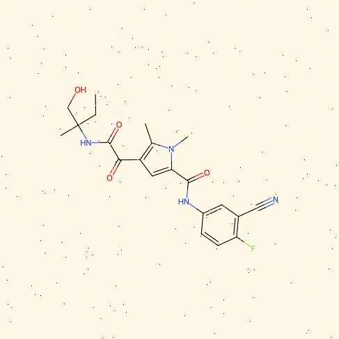 CCC(C)(CO)NC(=O)C(=O)c1cc(C(=O)Nc2ccc(F)c(C#N)c2)n(C)c1C